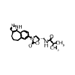 CC(C)C(=O)NC[C@H]1CN(c2ccc3c(c2)CCCc2cn[nH]c2-3)C(=O)O1